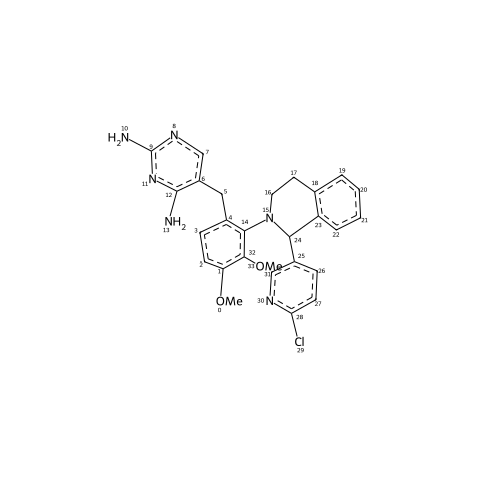 COc1[c]cc(Cc2cnc(N)nc2N)c(N2CCc3ccccc3C2c2ccc(Cl)nc2)c1OC